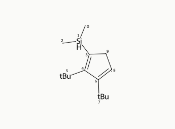 C[SiH](C)C1=C(C(C)(C)C)C(C(C)(C)C)=[C]C1